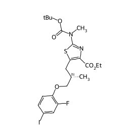 CCOC(=O)c1nc(N(C)C(=O)OC(C)(C)C)sc1C[C@H](C)COc1ccc(I)cc1F